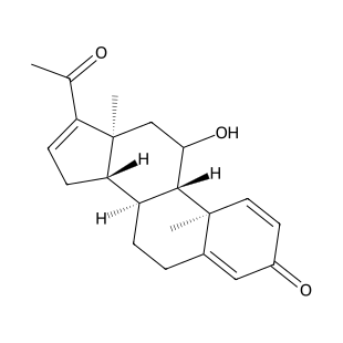 CC(=O)C1=CC[C@H]2[C@@H]3CCC4=CC(=O)C=C[C@]4(C)[C@H]3C(O)C[C@]12C